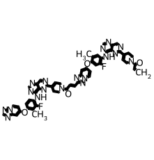 C=CC(=O)N1CC=C(c2ncc3ncnc(Nc4cc(C)c(Oc5ccn6nc(C=CC(=O)N7CC=C(c8ncc9ncnc(Nc%10ccc(Oc%11ccn%12ncnc%12c%11)c(C)c%10F)c9n8)CC7)nc6c5)cc4F)c3n2)CC1